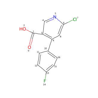 O=C(O)c1cnc(Cl)cc1-c1ccc(F)cc1